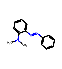 CN(C)c1ccccc1/N=N/c1ccccc1